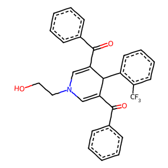 O=C(C1=CN(CCO)C=C(C(=O)c2ccccc2)C1c1ccccc1C(F)(F)F)c1ccccc1